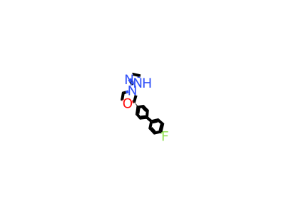 Fc1ccc(-c2ccc([C@H]3CN(C4=NCCN4)CCO3)cc2)cc1